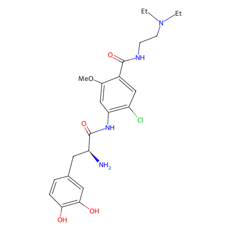 CCN(CC)CCNC(=O)c1cc(Cl)c(NC(=O)[C@@H](N)Cc2ccc(O)c(O)c2)cc1OC